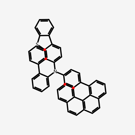 c1ccc(-c2ccccc2N(c2ccc(-c3cccc4ccc5ccc6ccccc6c5c34)cc2)c2ccc3c(c2)sc2ccccc23)cc1